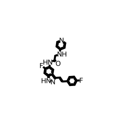 O=C(CNc1ccncc1)Nc1cc2c(C=Cc3ccc(F)cc3)n[nH]c2cc1F